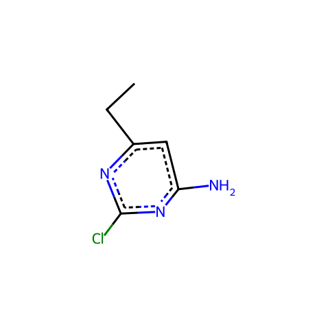 CCc1cc(N)nc(Cl)n1